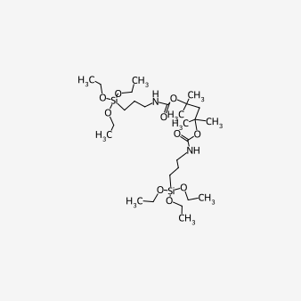 CCO[Si](CCCNC(=O)OC(C)(C)CC(C)(C)OC(=O)NCCC[Si](OCC)(OCC)OCC)(OCC)OCC